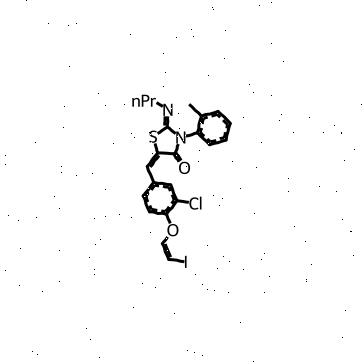 CCC/N=C1\S/C(=C/c2ccc(O/C=C\I)c(Cl)c2)C(=O)N1c1ccccc1C